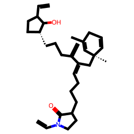 C=CC1CC[C@@H](CCCC(=C)/C(=C/CCCC2CCN(C=C)C2=O)C[C@]2(C)C=CCC(C)=C2)C1O